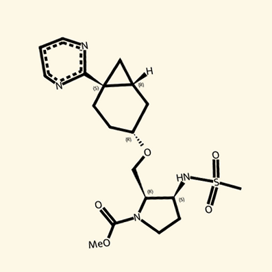 COC(=O)N1CC[C@H](NS(C)(=O)=O)[C@@H]1CO[C@@H]1CC[C@]2(c3ncccn3)C[C@@H]2C1